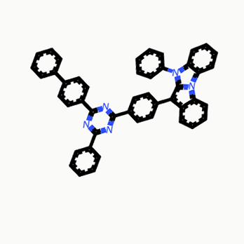 c1ccc(-c2ccc(-c3nc(-c4ccccc4)nc(-c4ccc(-c5c6ccccc6n6c7ccccc7n(-c7ccccc7)c56)cc4)n3)cc2)cc1